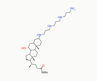 CNC(=O)CC[C@@H](C)[C@H]1CCC2C3C(CC[C@@]21C)[C@@]1(C)CC[C@H](NCCCNCCCNCCCN)CC1C[C@H]3O